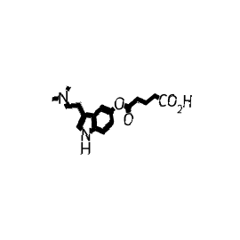 CN(C)CCc1c[nH]c2ccc(OC(=O)CCCC(=O)O)cc12